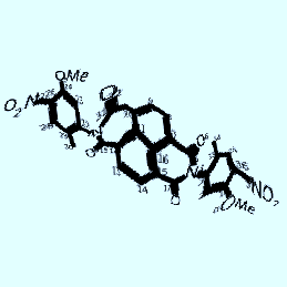 COc1cc(N2C(=O)c3ccc4c5c(ccc(c35)C2=O)C(=O)N(c2cc(OC)c([N+](=O)[O-])cc2C)C4=O)c(C)cc1[N+](=O)[O-]